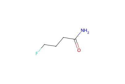 NC(=O)CCCF